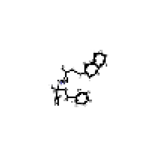 CC(CCc1ccc2ccccc2c1)/N=N/C(C)(C#N)CCc1ccccc1